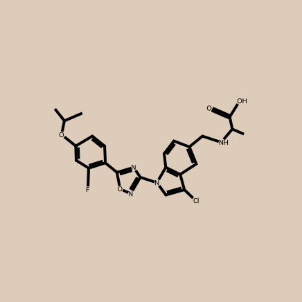 CC(C)Oc1ccc(-c2nc(-n3cc(Cl)c4cc(CNC(C)C(=O)O)ccc43)no2)c(F)c1